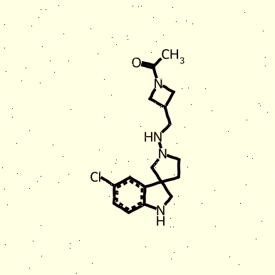 CC(=O)N1CC(CNN2CCC3(CNc4ccc(Cl)cc43)C2)C1